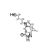 O=C1NN=C(C2CC2)C1=Cc1cccn1CCCCO